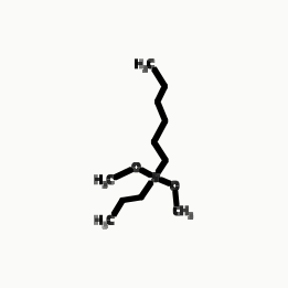 CCCCCC[Si](CCC)(OC)OC